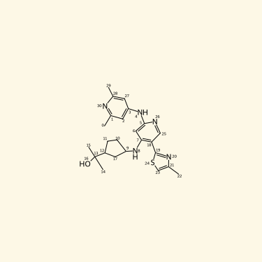 Cc1cc(Nc2cc(NC3CCC(C(C)(C)O)C3)c(-c3nc(C)cs3)cn2)cc(C)n1